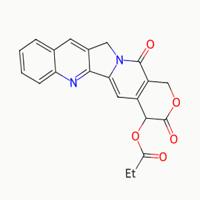 CCC(=O)OC1C(=O)OCc2c1cc1n(c2=O)Cc2cc3ccccc3nc2-1